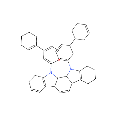 C1=CC(C2CC=CCC2)CC(N2C3=C(CCCC3)C3C=CC4C5=C(CCC=C5)N(C5=CC(C6=CCCCC6)=CCC5)C4C32)=C1